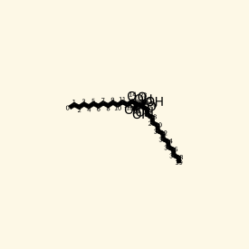 CCCCCCCCCCCCCC(=O)[C@@](O)(C(=O)O)[C@](O)(C(=O)O)C(=O)CCCCCCCCCCCCC